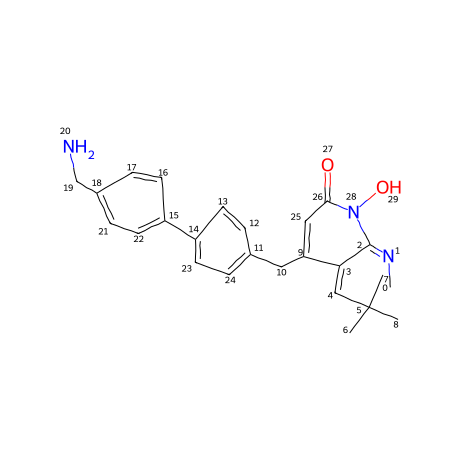 C/N=C1\C(=C/C(C)(C)C)C(Cc2ccc(-c3ccc(CN)cc3)cc2)=CC(=O)N1O